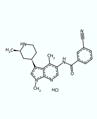 Cc1c(NC(=O)c2cccc(C#N)c2)cnc2c1c([C@@H]1CCN[C@H](C)C1)cn2C.Cl